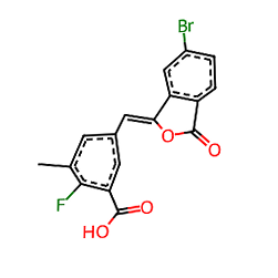 Cc1cc(C=C2OC(=O)c3ccc(Br)cc32)cc(C(=O)O)c1F